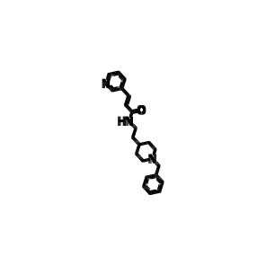 O=C(/C=C/c1cccnc1)NCCC1CCN(Cc2ccccc2)CC1